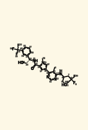 Cc1c(NC(CO)CC(F)(F)F)ncnc1-c1cc(C(=O)N[C@H](CO)c2cccc(C(F)(F)F)c2)n(C)c1